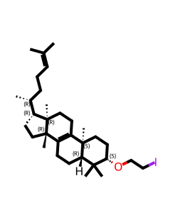 CC(C)=CCC[C@@H](C)[C@H]1CC[C@@]2(C)C3=C(CC[C@]12C)[C@@]1(C)CC[C@H](OCCI)C(C)(C)[C@@H]1CC3